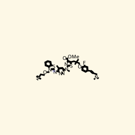 COC(=O)c1nc(N(C)c2cc(C)c(/N=c3\sc4ccccc4n3COCC[Si](C)(C)C)nn2)sc1CC(C)(C)COc1ccc(C#CCN(C)C)cc1F